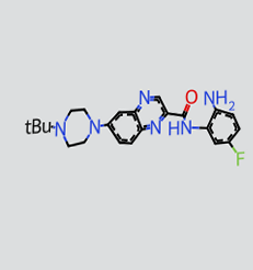 CC(C)(C)N1CCN(c2ccc3nc(C(=O)Nc4cc(F)ccc4N)cnc3c2)CC1